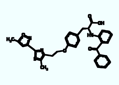 Cc1cc(-c2nc(CCOc3ccc(C[C@H](Nc4ccccc4C(=O)c4ccccc4)C(=O)O)cc3)c(C)s2)no1